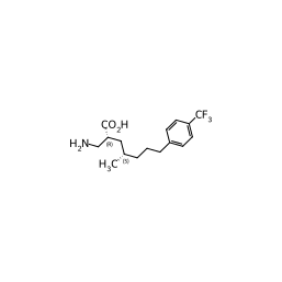 C[C@@H](CCCc1ccc(C(F)(F)F)cc1)C[C@H](CN)C(=O)O